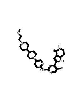 COCCN1CCC(C2CCN(c3ccc(Nc4ncc(F)c(-c5cc6c([nH]5)CCNC6=O)n4)nc3)CC2)CC1